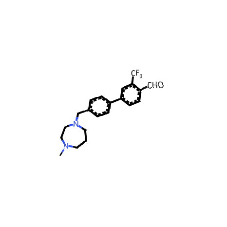 CN1CCCN(Cc2ccc(-c3ccc(C=O)c(C(F)(F)F)c3)cc2)CC1